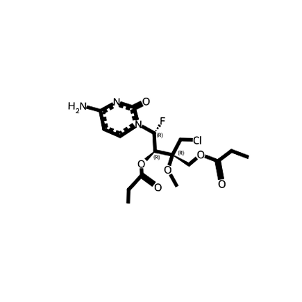 CCC(=O)OC[C@@](CCl)(OC)[C@@H](OC(=O)CC)[C@@H](F)n1ccc(N)nc1=O